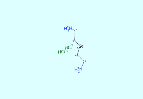 Cl.Cl.NCC[Se]CCN